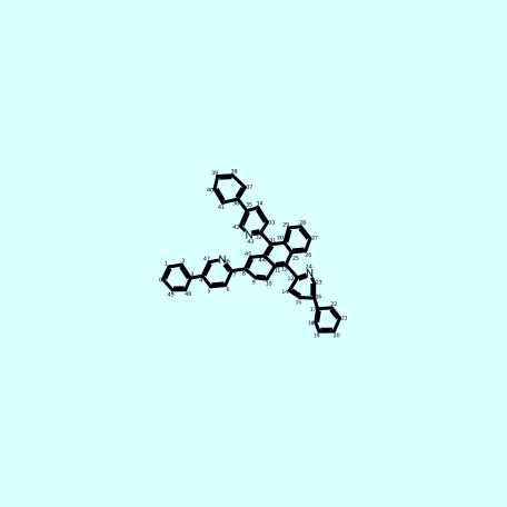 c1ccc(-c2ccc(-c3ccc4c(-c5ccc(-c6ccccc6)cn5)c5ccccc5c(-c5ccc(-c6ccccc6)cn5)c4c3)nc2)cc1